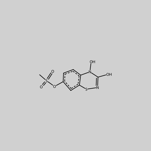 CS(=O)(=O)Oc1ccc2c(c1)SN=C(O)N2O